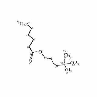 CCCCCCCCCCCCC(=O)OCCC[N+](C)(C)C